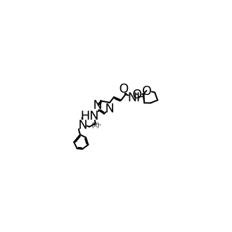 C[C@H](CN(C)Cc1ccccc1)Nc1cnc(C=CC(=O)NOC2CCCCO2)cn1